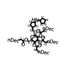 CCCCCCCCCCCC(=O)OC[C@H]1O[C@@H](OCC2CCC(NC3CCCC3)C2)[C@H](OC(=O)CCCCCCCCCCC)[C@@H](OC(=O)CCCCCCCCCCC)[C@H]1OC(=O)CCCCCCCCCCC